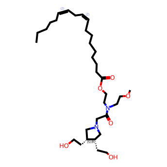 CCCCC/C=C\C/C=C\CCCCCCCC(=O)OCCN(CCOC)C(=O)CN1C[C@@H](CCO)[C@@H](CCO)C1